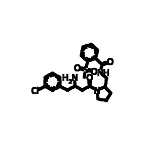 CS(=O)(=O)c1ccccc1C(=O)NCC1CCCN1C(=O)CC(N)Cc1cccc(Cl)c1